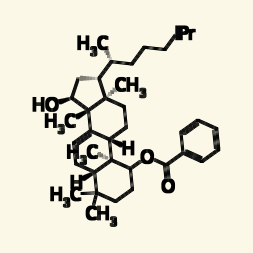 CC(C)CCC[C@@H](C)[C@H]1C[C@H](O)[C@@]2(C)C3=CC[C@H]4C(C)(C)CCC(OC(=O)c5ccccc5)[C@]4(C)[C@H]3CC[C@]12C